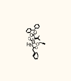 C#CCO[C@@H]1[C@H](NC(=O)Cc2ccccc2)C(=O)N1C(C(=O)OC(c1ccccc1)c1ccccc1)=C(C)C